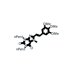 CCCCCn1c(=O)c2c(nc(/C=C/c3cc(OC)c(OC)c(OC)c3)n2C)n(CCCCC)c1=O